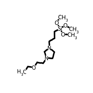 CCOCCN1CCN(CCC[Si](OC)(OC)OC)C1